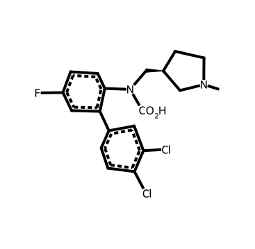 CN1CC[C@H](CN(C(=O)O)c2ccc(F)cc2-c2ccc(Cl)c(Cl)c2)C1